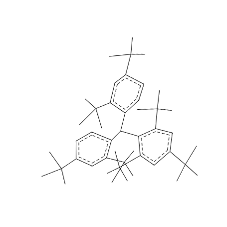 CC(C)(C)c1ccc(C(c2ccc(C(C)(C)C)cc2C(C)(C)C)c2c(C(C)(C)C)cc(C(C)(C)C)cc2C(C)(C)C)c(C(C)(C)C)c1